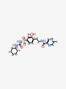 CO.Cc1cnc(C(=O)NCCc2ccc(S(=O)(=O)NC(=O)NC3CCCCC3)cc2)cn1